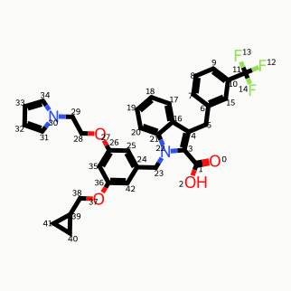 O=C(O)c1c(Cc2cccc(C(F)(F)F)c2)c2ccccc2n1Cc1cc(OCCn2cccc2)cc(OCC2CC2)c1